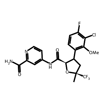 COc1c(C2C[C@@](C)(C(F)(F)F)O[C@H]2C(=O)Nc2ccnc(C(N)=O)c2)ccc(F)c1Cl